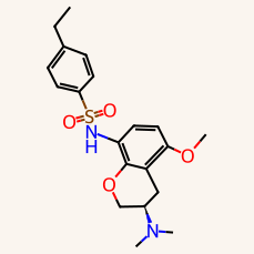 CCc1ccc(S(=O)(=O)Nc2ccc(OC)c3c2OC[C@H](N(C)C)C3)cc1